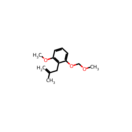 C=C(C)Cc1c(OC)cccc1OCOC